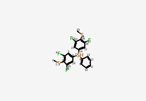 CSc1c(F)cc([SH](c2ccccc2)c2cc(F)c(SC)c(F)c2)cc1F